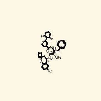 CCc1ccc2c(c1)[C@@H](NC[C@H](O)[C@H](Cc1ccccc1)NC(=O)c1ccnc(-c3c(F)cccc3F)c1)CC1(CCC1)O2